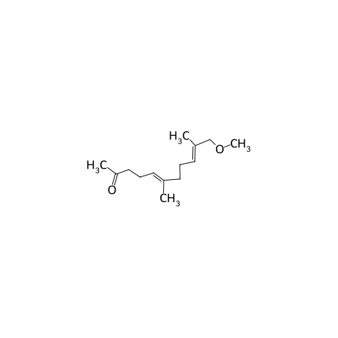 COCC(C)=CCCC(C)=CCCC(C)=O